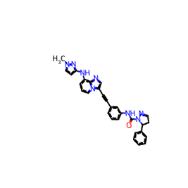 Cn1ccc(Nc2cccn3c(C#Cc4cccc(NC(=O)N5N=CCC5c5ccccc5)c4)cnc23)n1